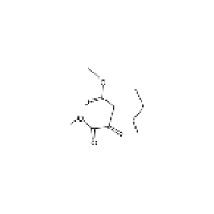 C=C(CC(=O)OC)C(=O)OC.CCCC